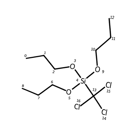 CCCO[Si](OCCC)(OCCC)C(Cl)(Cl)Cl